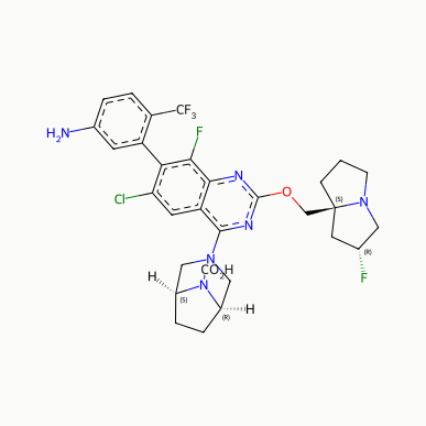 Nc1ccc(C(F)(F)F)c(-c2c(Cl)cc3c(N4C[C@H]5CC[C@@H](C4)N5C(=O)O)nc(OC[C@@]45CCCN4C[C@H](F)C5)nc3c2F)c1